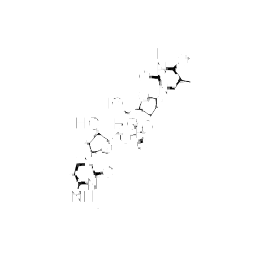 Cc1cn([C@H]2C[C@H](OP(=O)(O)OC[C@H]3O[C@@H](n4ccc(N)nc4=O)C[C@@H]3O)[C@@H](CO)O2)c(=O)[nH]c1=O